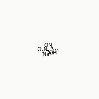 O=N[O-].O=[N+]([O-])O.[Na+]